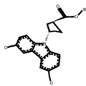 CC(C)(C)OC(=O)[C@H]1C[C@H](n2c3ccc(Cl)cc3c3cc(Cl)ccc32)C1